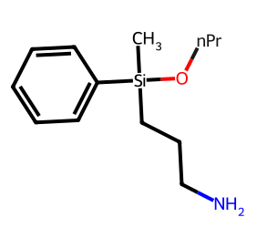 CCCO[Si](C)(CCCN)c1ccccc1